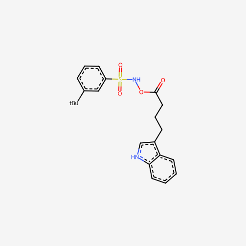 CC(C)(C)c1cccc(S(=O)(=O)NOC(=O)CCCc2c[nH]c3ccccc23)c1